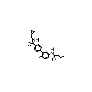 CCCC(=O)Nc1ccc(C)c(-c2ccc(C(=O)NCC3CC3)cc2)c1